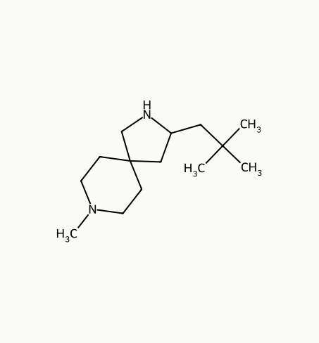 CN1CCC2(CC1)CNC(CC(C)(C)C)C2